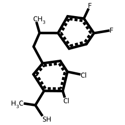 CC(S)c1cc(CC(C)c2ccc(F)c(F)c2)cc(Cl)c1Cl